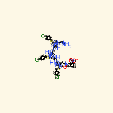 CC(=O)N(CCCc1nc(NCCNc2nc(NCCNc3nc(NCCN)nc(SCc4ccc(Cl)cc4)n3)nc(SCc3ccc(Cl)cc3)n2)nc(SCc2ccc(Cl)cc2)n1)Cc1ccccc1[N+](=O)[O-]